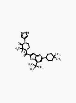 CC1(C)CCC(c2cc(C(C)(C)C)c3oc(C(=O)N4CCN(c5cn[nH]c5)C(=O)C4(C)C)cc3n2)CC1